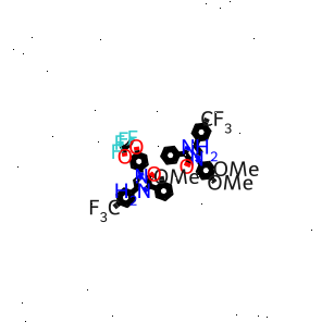 COc1ccc(N(CCc2ccc(C(F)(F)F)cc2)C(=O)C(N)c2ccccc2)cc1OC.COc1ccccc1C(N)C(=O)N(CCc1ccc(C(F)(F)F)cc1)c1ccc2c(c1)OC(F)(F)C(F)(F)O2